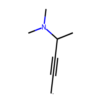 [CH2]C#CC(C)N(C)C